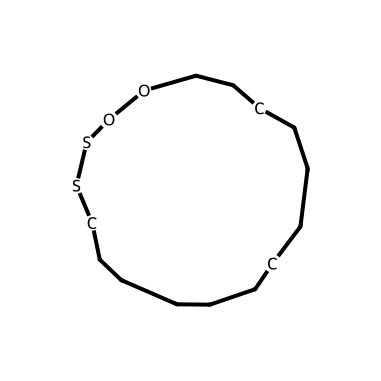 C1CCCCCCOOSSCCCCCC1